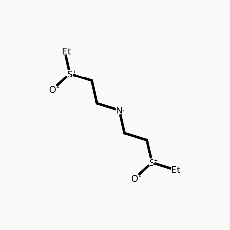 CC[S+]([O-])CC[N]CC[S+]([O-])CC